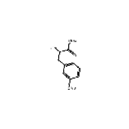 COC(=O)C(C)Cc1cccc(OC)c1